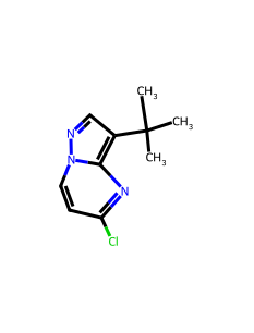 CC(C)(C)c1cnn2ccc(Cl)nc12